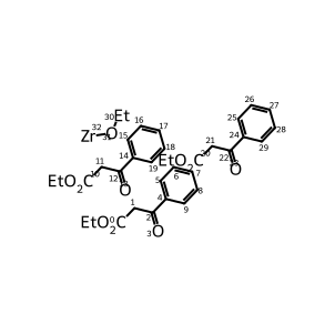 CCOC(=O)CC(=O)c1ccccc1.CCOC(=O)CC(=O)c1ccccc1.CCOC(=O)CC(=O)c1ccccc1.CC[O][Zr]